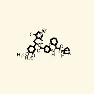 COc1ccc(C(Cc2c(Cl)c[n+]([O-])cc2Cl)OC(=O)c2ccc(N[C@H](C(=O)O[C@H]3CN4CCC3CC4)c3ccccc3F)cc2)cc1OC